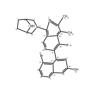 Cc1nc(N2CC3CCC(C2)N3)c2cnc(-c3cc(O)cc4cccc(Br)c34)c(F)c2c1C